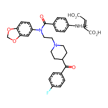 CC(=O)Nc1ccc(C(=O)N(CCN2CCC(C(=O)c3ccc(F)cc3)CC2)c2ccc3c(c2)OCO3)cc1.O=C(O)C=CC(=O)O